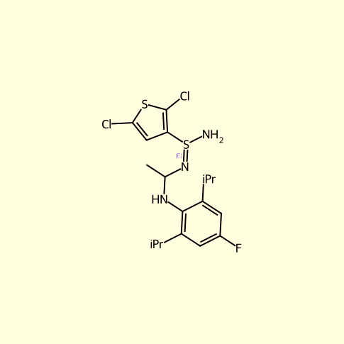 CC(/N=S(/N)c1cc(Cl)sc1Cl)Nc1c(C(C)C)cc(F)cc1C(C)C